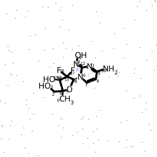 C[C@]1(CO)O[C@@H](n2ccc(N)n/c2=N\O)C(F)(F)[C@@H]1O